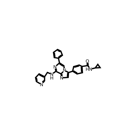 O=C(NC1CC1)c1ccc(-c2cnc3c(NCc4cccnc4)nc(-c4ccccc4)cn23)cc1